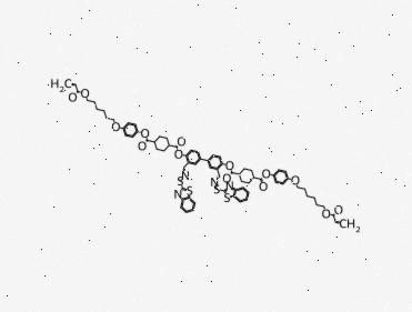 C=CC(=O)OCCCCCCOc1ccc(OC(=O)C2CCC(C(=O)Oc3ccc(-c4ccc(OC(=O)C5CCC(C(=O)Oc6ccc(OCCCCCCOC(=O)C=C)cc6)CC5)c(/C=N/Sc5nc6ccccc6s5)c4)cc3/C=N/Sc3nc4ccccc4s3)CC2)cc1